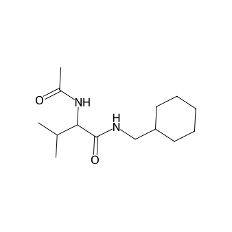 CC(=O)NC(C(=O)NCC1CCCCC1)C(C)C